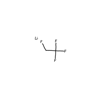 FCC(F)(F)F.[Li]